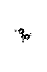 Clc1cnc2[nH]cc(-c3cccc(Br)n3)c2c1